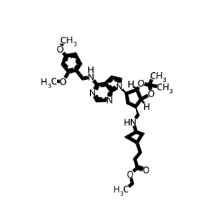 CCOC(=O)CCC1CC(NC[C@H]2C[C@@H](n3ccc4c(NCc5ccc(OC)cc5OC)ncnc43)[C@@H]3OC(C)(C)O[C@H]23)C1